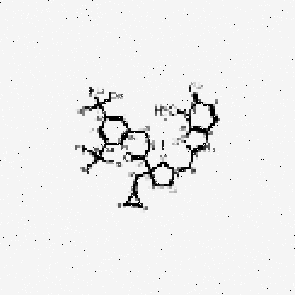 Cn1c(=O)ccc2nc(CN3CCC(CC4CC4)(C(=O)NCc4cc(C(F)(F)F)cc(C(F)(F)F)c4)C3)sc21